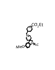 CCOC(=O)N1CCC(CN2CCC3(CC2)CN(C(C)=O)c2ccc(OC)cc23)CC1